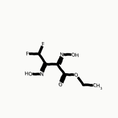 CCOC(=O)C(=N\O)/C(=N/O)C(F)F